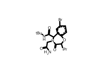 CC(C)C1Oc2ccc(Br)cc2C(C(=O)NC(C)(C)C)N(CC(N)=O)C1=O